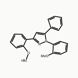 CCCCOc1ccccc1-c1cc(-c2ccccc2)n(-c2ccccc2OC)n1